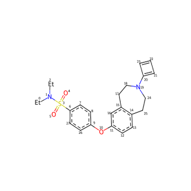 CCN(CC)S(=O)(=O)c1ccc(Oc2ccc3c(c2)CCN(C2=CC=C2)CC3)cc1